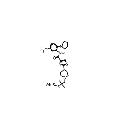 CSSC(C)(C)CN1CCC(c2nc(C(=O)Nc3cc(C(F)(F)F)ccc3N3CCCC3)cs2)CC1